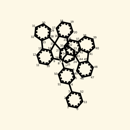 c1ccc(-c2ccc(N(c3cccc4c3C3(c5ccccc5-c5ccccc53)c3ccccc3-4)c3ccc4cccc5c4c3-c3ccccc3-5)cc2)cc1